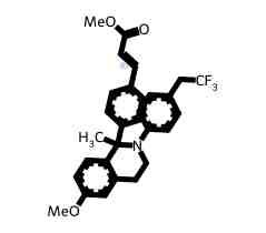 COC(=O)/C=C/c1ccc(C2(C)c3ccc(OC)cc3CCN2c2ccc(CC(F)(F)F)cc2)cc1